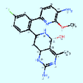 COc1nc(-c2cc(F)ccc2C2CC3NC(N)=NC(C)=C3[C@@H](O)N2)ccc1N